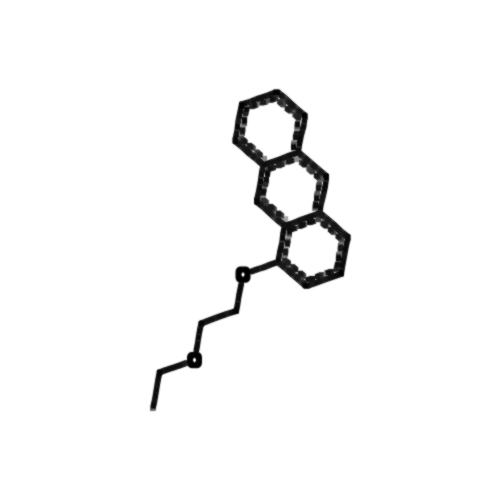 CCOCCOc1cccc2cc3ccccc3cc12